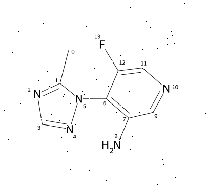 Cc1ncnn1-c1c(N)cncc1F